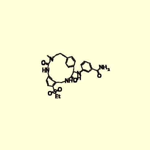 CCS(=O)(=O)c1ccc2cc1CNC(=O)C(Nc1cccc(C(N)=O)c1)c1ccc(cc1)CCN(C)C(=O)N2